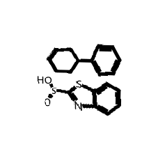 O=S(O)c1nc2ccccc2s1.c1ccc(C2CCCCC2)cc1